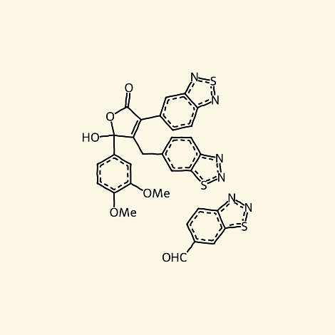 COc1ccc(C2(O)OC(=O)C(c3ccc4nsnc4c3)=C2Cc2ccc3nnsc3c2)cc1OC.O=Cc1ccc2nnsc2c1